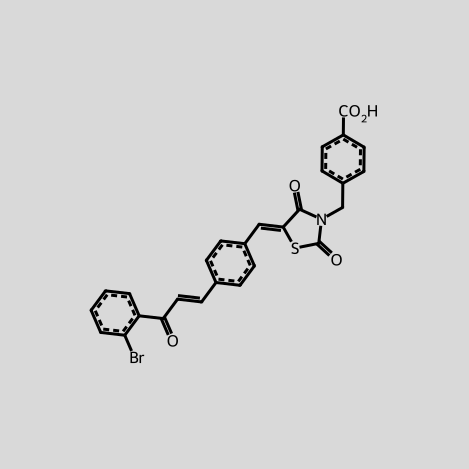 O=C(O)c1ccc(CN2C(=O)S/C(=C\c3ccc(/C=C/C(=O)c4ccccc4Br)cc3)C2=O)cc1